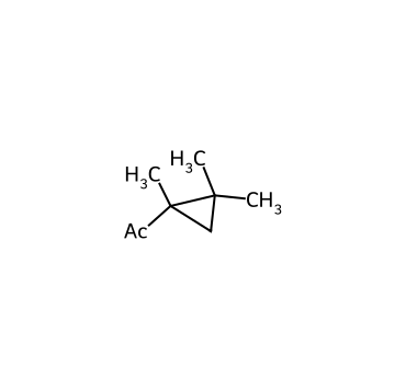 CC(=O)C1(C)CC1(C)C